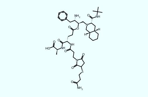 C[C@H](NC(=O)[C@H](CCC(=O)O[C@H](CN1C[C@H]2CCCC[C@H]2C[C@H]1C(=O)NC(C)(C)C)[C@@H](N)Cc1ccccc1)NC(=O)CCN1C(=O)CC(SCCC(N)=O)C1=O)C(=O)O